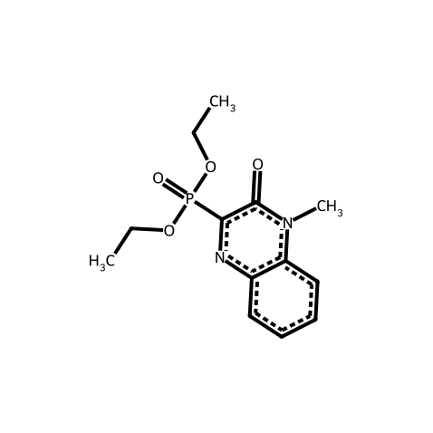 CCOP(=O)(OCC)c1nc2ccccc2n(C)c1=O